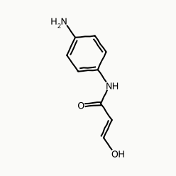 Nc1ccc(NC(=O)C=CO)cc1